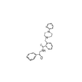 O=C(CNC(=O)c1ccccc1CN1CCN(c2ccccn2)CC1)c1ccccc1